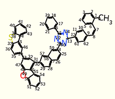 Cc1ccccc1/C=C\c1ccc(-c2nc(-c3ccccc3)nc(-c3ccc4ccc(-c5cc(-c6ccc7sc8ccccc8c7c6)cc6oc7ccccc7c56)cc4c3)n2)cc1